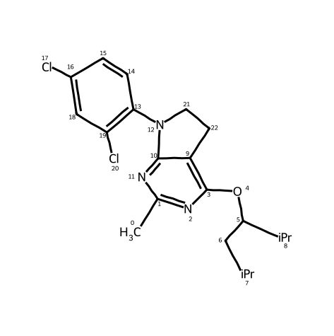 Cc1nc(OC(CC(C)C)C(C)C)c2c(n1)N(c1ccc(Cl)cc1Cl)CC2